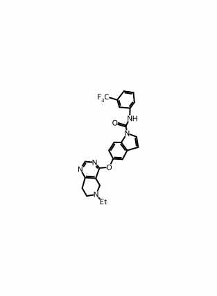 CCN1CCc2ncnc(Oc3ccc4c(ccn4C(=O)Nc4cccc(C(F)(F)F)c4)c3)c2C1